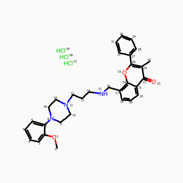 COc1ccccc1N1CCN(CCCNCc2cccc3c(=O)c(C)c(-c4ccccc4)oc23)CC1.Cl.Cl.Cl